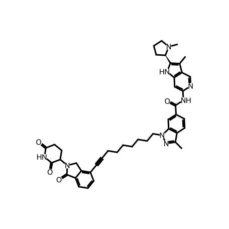 Cc1c([C@H]2CCCN2C)[nH]c2cc(NC(=O)c3ccc4c(C)nn(CCCCCCCC#Cc5cccc6c5CN(C5CCC(=O)NC5=O)C6=O)c4c3)ncc12